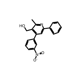 Cc1nc(-c2ccccc2)cc(-c2cccc([N+](=O)[O-])c2)c1CO